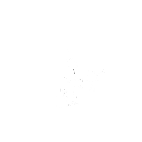 C[C@@H]1C(C(=O)N[C@@H]2CCCC[C@H]2O)=NN(c2ccc(Cl)cc2Cl)[C@@H]1c1ccc(F)cc1